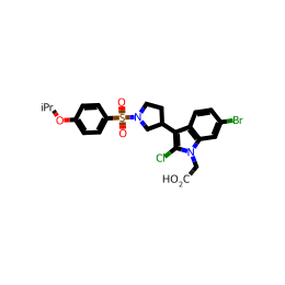 CC(C)Oc1ccc(S(=O)(=O)N2CCC(c3c(Cl)n(CC(=O)O)c4cc(Br)ccc34)C2)cc1